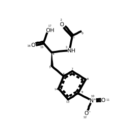 CC(=O)N[C@@H](Cc1ccc([N+](=O)[O-])cc1)C(=O)O